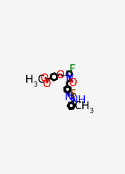 COC(=O)C1CCC(OC[C@@H]2C[C@H](F)CN2C(=O)Cc2ccc3nc(Nc4ccccc4C)sc3c2)CC1